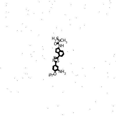 CC(C)Oc1ccc(-c2nnc(-c3cccc4c3CC[C@H]4NC(=O)N(C)C)s2)cc1N